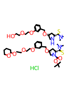 CN(C)C(=S)[C@@H]1C[C@@H](OCc2cccc(OCCOCCO)c2)CN1.CN(C)C(=S)[C@@H]1C[C@@H](OCc2cccc(OCCOCCOC3CCCCO3)c2)CN1C(=O)OC(C)(C)C.Cl